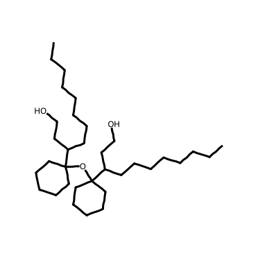 CCCCCCCCC(CCO)C1(OC2(C(CCO)CCCCCCCC)CCCCC2)CCCCC1